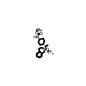 CC([C@H]1CC[C@H](NC(=O)OC(C)(C)C)CC1)[N+]1(OC(F)(F)F)CCc2ccccc2C1